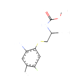 CC(C)(C)OC(=O)NC(CSc1cc(F)c(C#N)cc1N)C(=O)O